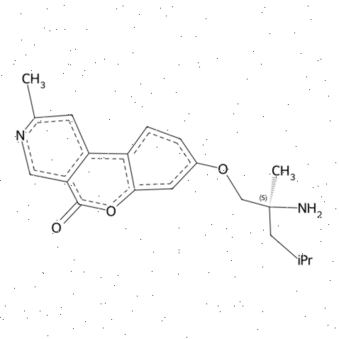 Cc1cc2c(cn1)c(=O)oc1cc(OC[C@@](C)(N)CC(C)C)ccc12